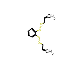 C=CCSSc1ccccc1SSCC=C